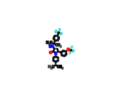 CC(C)c1ccc(N2C(=O)[C@@H](NC(C)(C)c3ccc(C(F)(F)F)cc3)C[C@H]2c2cccc(OC(F)(F)F)c2)cc1